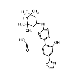 CC1(C)CC(Nc2ncc(-c3ccc(-c4ncco4)cc3O)nn2)CC(C)(C)N1.O=CO